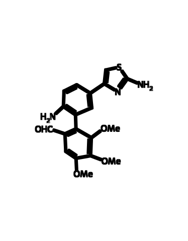 COc1cc(C=O)c(-c2cc(-c3csc(N)n3)ccc2N)c(OC)c1OC